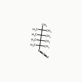 CC(C)(C)C(C)(C)C(C)(C)C(C)(C)N=[N+]=[N-]